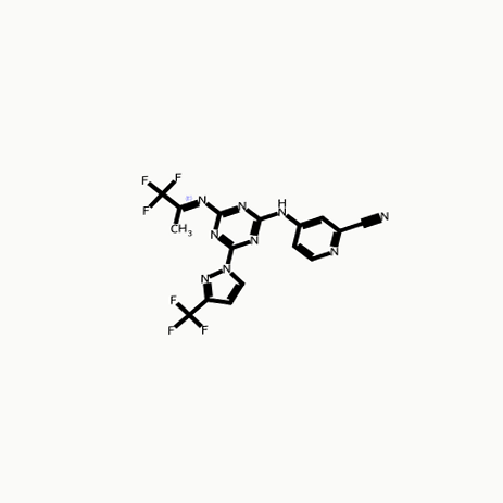 C/C(=N\c1nc(Nc2ccnc(C#N)c2)nc(-n2ccc(C(F)(F)F)n2)n1)C(F)(F)F